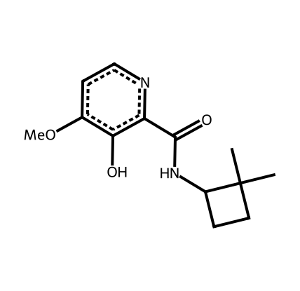 COc1ccnc(C(=O)NC2CCC2(C)C)c1O